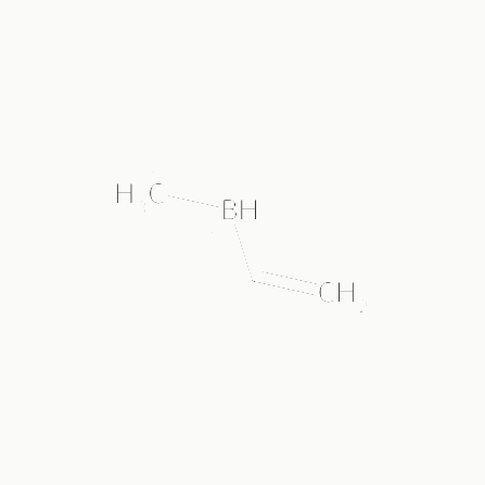 C=CBC